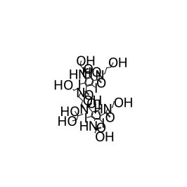 O=C(CO)Nc1c(I)c(C(=O)NCCO)c(I)c(C(=O)N(CC(O)CO)CC(O)CN(CCO)C(=O)c2c(I)c(NC(=O)CO)c(I)c(C(=O)N(O)CCCO)c2I)c1I